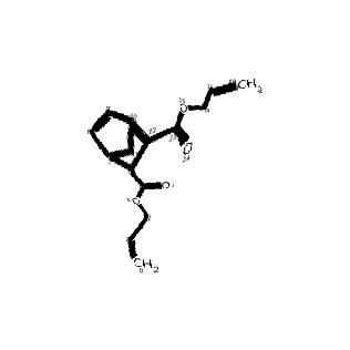 C=CCOC(=O)C1C2C=CC(C2)C1C(=O)OCC=C